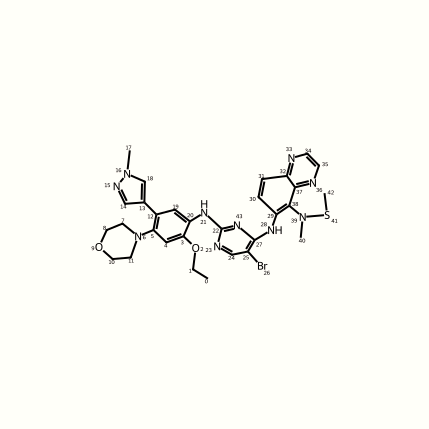 CCOc1cc(N2CCOCC2)c(-c2cnn(C)c2)cc1Nc1ncc(Br)c(Nc2ccc3nccnc3c2N(C)SC)n1